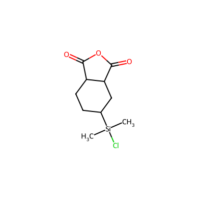 C[Si](C)(Cl)C1CCC2C(=O)OC(=O)C2C1